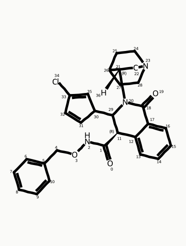 O=C(NOCc1ccccc1)[C@@H]1c2ccccc2C(=O)N([C@H]2CN3CCC2CC3)C1C1C=CC(Cl)=C1